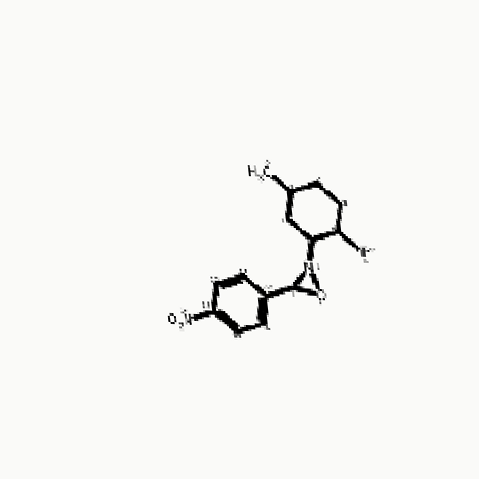 CC1CCC(C(C)C)C(N2OC2c2ccc([N+](=O)[O-])cc2)C1